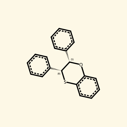 c1ccc([C@H]2Sc3ccccc3O[C@H]2c2ccccc2)cc1